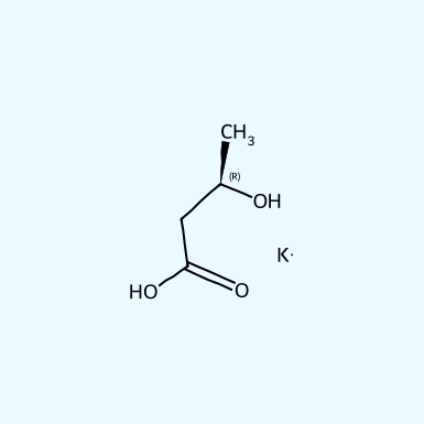 C[C@@H](O)CC(=O)O.[K]